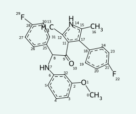 COc1cccc(NC(C(=O)c2c(C)[nH]c(C)c2-c2ccc(F)cc2)c2ccc(F)cc2)c1